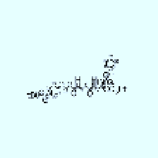 CCOC(=O)[C@H](CNC(=O)CCNC(=O)CCCC1CCN(C(=O)OC(C)(C)C)CC1)NC(=O)OCc1ccccc1